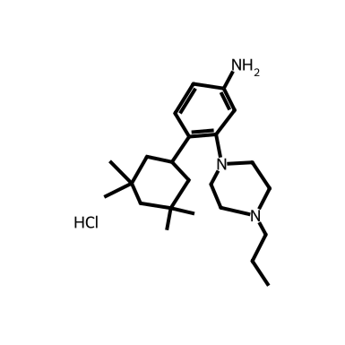 CCCN1CCN(c2cc(N)ccc2C2CC(C)(C)CC(C)(C)C2)CC1.Cl